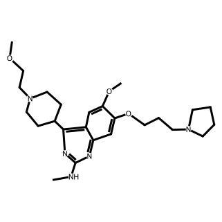 CNc1nc(C2CCN(CCOC)CC2)c2cc(OC)c(OCCCN3CCCC3)cc2n1